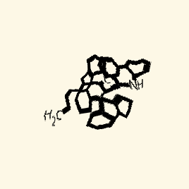 C=C/C=C\C=C1/CC2=C(CCC=C2)C12C1CCC(NC3C=CC=CC3C3C=CC=CC3)=CC1[C@]1(C3=CCCCC3C3=C1CCC=C3)C1CCCCC12